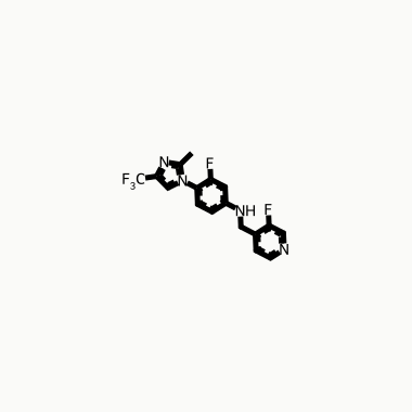 Cc1nc(C(F)(F)F)cn1-c1ccc(NCc2ccncc2F)cc1F